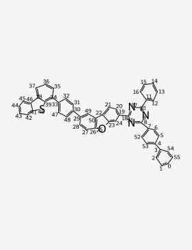 c1ccc(-c2ccc(-c3nc(-c4ccccc4)nc(-c4ccc5c(c4)oc4ccc(-c6ccc(-c7cccc8c7sc7ccccc78)cc6)cc45)n3)cc2)cc1